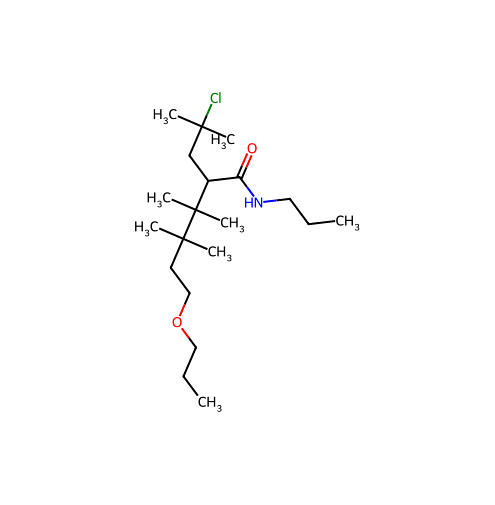 CCCNC(=O)C(CC(C)(C)Cl)C(C)(C)C(C)(C)CCOCCC